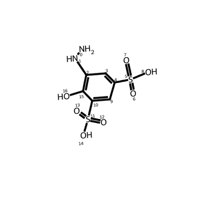 NNc1cc(S(=O)(=O)O)cc(S(=O)(=O)O)c1O